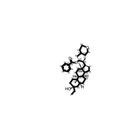 CC[C@]1(O)CC[C@@]2(C)[C@@H](CC[C@@H]3[C@@H]2CC[C@]2(C)[C@@H]([C@H](C)[C@@H](CC4CCOCC4)OC(=O)c4ccccc4)CC[C@@H]32)C1